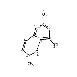 Cc1cc(Cl)c2c(c1)C=CC(C(F)(F)F)O2